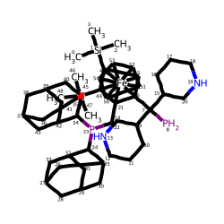 C[Si](C)(C)[C]12[CH]3[C]4(C(P)(C5CCCNC5)C5CCCNC5)[C]5(CP(C6C7CC8CC(C7)CC6C8)C6C7CC8CC(C7)CC6C8)[C]1([Si](C)(C)C)[Fe]35421678[CH]2[CH]1[CH]6[CH]7[CH]28